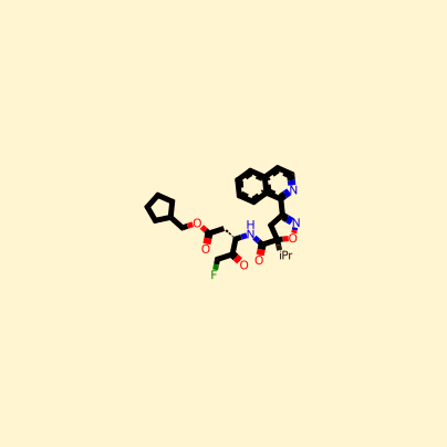 CC(C)C1(C(=O)N[C@@H](CC(=O)OCC2CCCC2)C(=O)CF)CC(c2nccc3ccccc23)=NO1